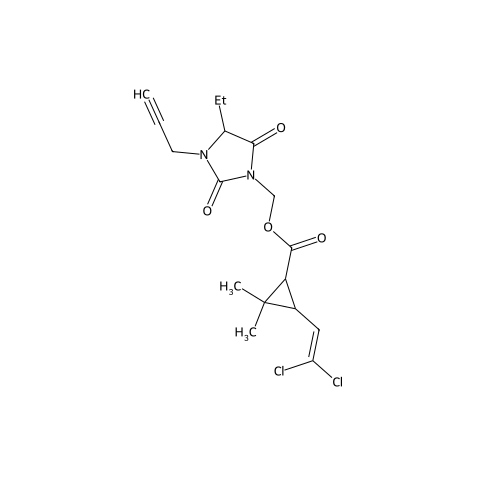 C#CCN1C(=O)N(COC(=O)C2C(C=C(Cl)Cl)C2(C)C)C(=O)C1CC